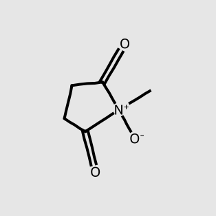 C[N+]1([O-])C(=O)CCC1=O